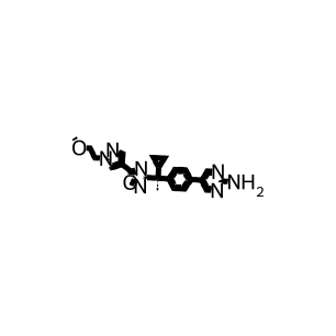 COCCn1cc(-c2nc([C@](C)(c3ccc(-c4cnc(N)nc4)cc3)C3CC3)no2)cn1